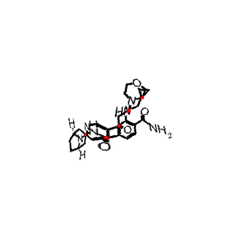 NC(=O)c1ccc(C(=O)N[C@H]2C[C@H]3CC[C@@H](C2)N3c2ccc(C(=O)CCN3CCOCC3)cn2)cc1NCC1CC1